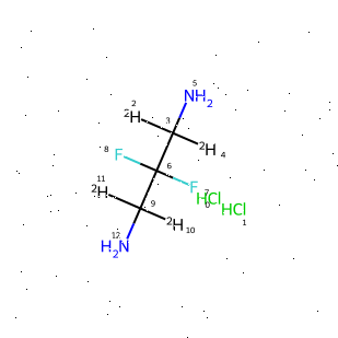 Cl.Cl.[2H]C([2H])(N)C(F)(F)C([2H])([2H])N